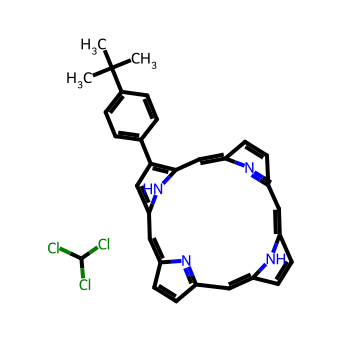 CC(C)(C)c1ccc(-c2cc3cc4nc(cc5ccc(cc6nc(cc2[nH]3)C=C6)[nH]5)C=C4)cc1.ClC(Cl)Cl